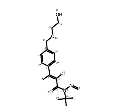 C=NN(C(=O)/C(Cl)=C(\C)c1ccc(COCCO)cc1)C(C)(C)C